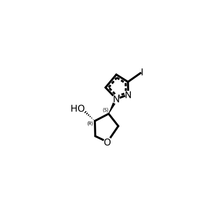 O[C@H]1COC[C@@H]1n1ccc(I)n1